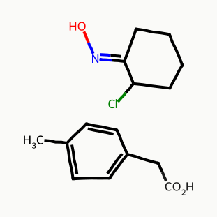 Cc1ccc(CC(=O)O)cc1.ON=C1CCCCC1Cl